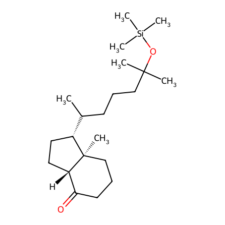 CC(CCCC(C)(C)O[Si](C)(C)C)[C@H]1CC[C@H]2C(=O)CCC[C@]12C